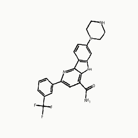 NC(=O)c1cc(-c2cccc(C(F)(F)F)c2)nc2c1[nH]c1cc(N3CCNCC3)ccc12